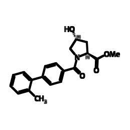 COC(=O)[C@@H]1C[C@@H](O)CN1C(=O)c1ccc(-c2ccccc2C)cc1